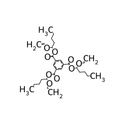 C=COC(CCCC)OC(=O)c1cc(C(=O)OC(CCCC)OC=C)cc(C(=O)OC(CCCC)OC=C)c1